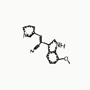 COc1cccc2c(C(C#N)=Cc3cccnc3)c[nH]c12